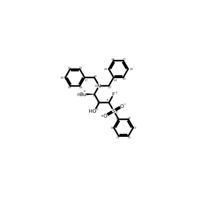 CCCC[C@H](C(O)C(F)S(=O)(=O)c1ccccc1)N(Cc1ccccc1)Cc1ccccc1